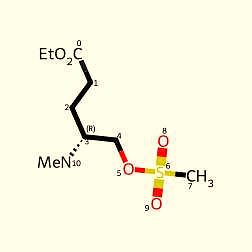 CCOC(=O)CC[C@H](COS(C)(=O)=O)NC